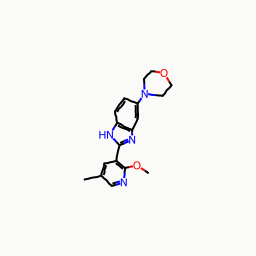 COc1ncc(C)cc1-c1nc2cc(N3CCOCC3)ccc2[nH]1